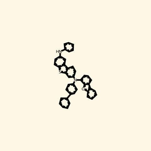 c1ccc(Nc2ccc3sc4cc(N(c5ccc(-c6ccccc6)cc5)c5cccc6c5oc5ccccc56)ccc4c3c2)cc1